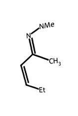 CC/C=C\C(C)=N\NC